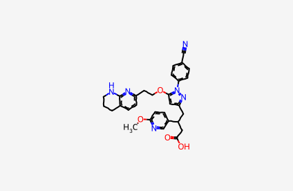 COc1ccc(C(CC(=O)O)Cc2cc(OCCc3ccc4c(n3)NCCC4)n(-c3ccc(C#N)cc3)n2)cn1